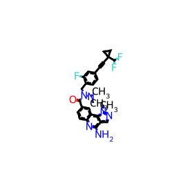 CN(C)N(Cc1ccc(C#CC2(C(F)F)CC2)cc1F)C(=O)c1ccc2nc(N)c3cnn(C)c3c2c1